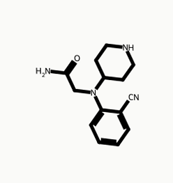 N#Cc1ccccc1N(CC(N)=O)C1CCNCC1